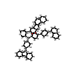 c1ccc(N(c2ccc(-c3ccc(-c4cccc5ccccc45)cc3)cc2)c2ccc(-n3c4ccccc4c4ccccc43)cc2)c(-c2ccc3oc4c5ccccc5ccc4c3c2)c1